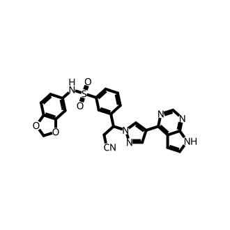 N#CCC(c1cccc(S(=O)(=O)Nc2ccc3c(c2)OCO3)c1)n1cc(-c2ncnc3[nH]ccc23)cn1